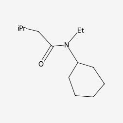 CCN(C(=O)CC(C)C)C1CCCCC1